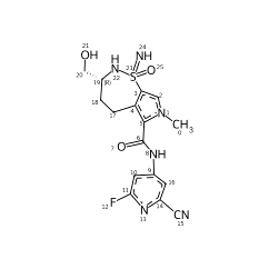 Cn1cc2c(c1C(=O)Nc1cc(F)nc(C#N)c1)CC[C@H](CO)NS2(=N)=O